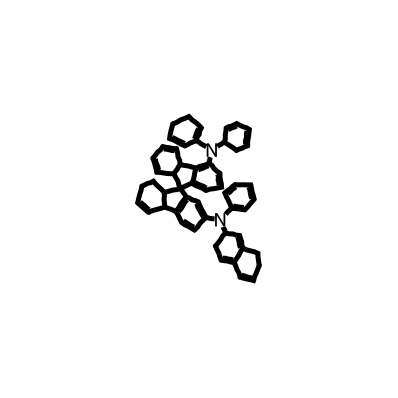 C1=CCC(N(C2=CCCC=C2)c2cccc3c2C2C=CC=CC2C32c3cc(N(c4ccccc4)C4C=C5CCC=CC5=CC4)ccc3C3C=CCCC32)C=C1